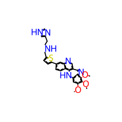 COc1cc(Nc2c(C#N)cnc3cc(-c4ccc(CNCCc5c[nH]cn5)s4)ccc23)cc(OC)c1OC